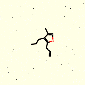 C=CCc1occ(C)c1CCC